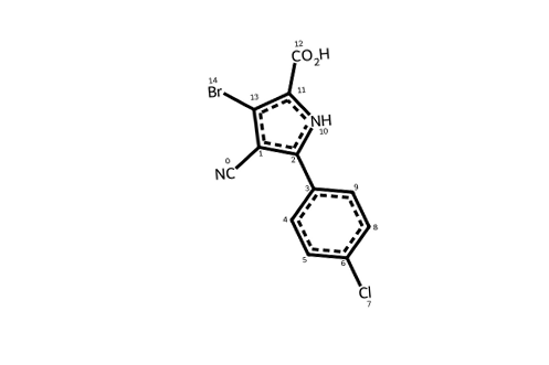 N#Cc1c(-c2ccc(Cl)cc2)[nH]c(C(=O)O)c1Br